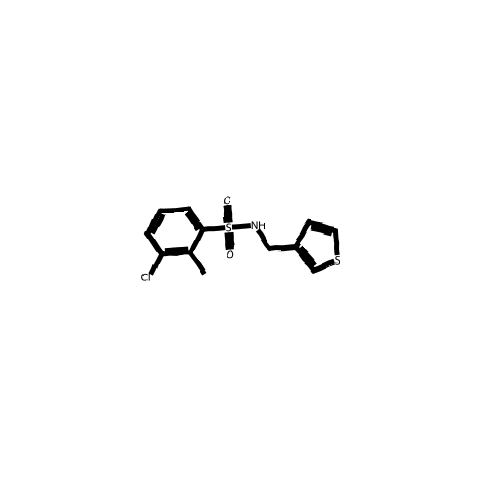 Cc1c(Cl)cccc1S(=O)(=O)NCc1ccsc1